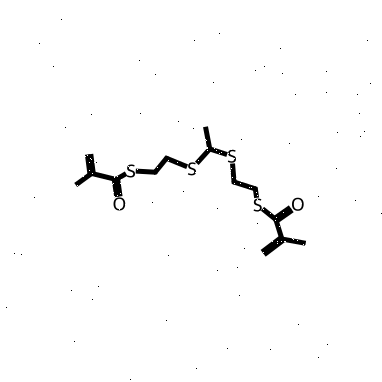 C=C(C)C(=O)SCCSC(C)SCCSC(=O)C(=C)C